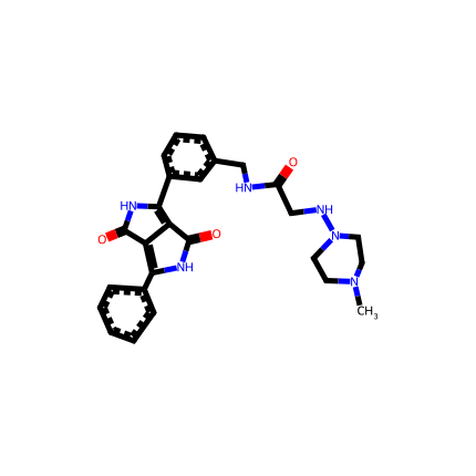 CN1CCN(NCC(=O)NCc2cccc(C3=C4C(=O)NC(c5ccccc5)=C4C(=O)N3)c2)CC1